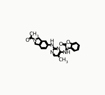 CC(=O)N1Cc2ccc(Nc3ncc(C)c(Nn4c(=O)oc5ccccc54)n3)cc2C1